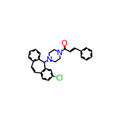 O=C(C=Cc1ccccc1)N1CCN(C2c3ccccc3C=Cc3ccc(Cl)cc32)CC1